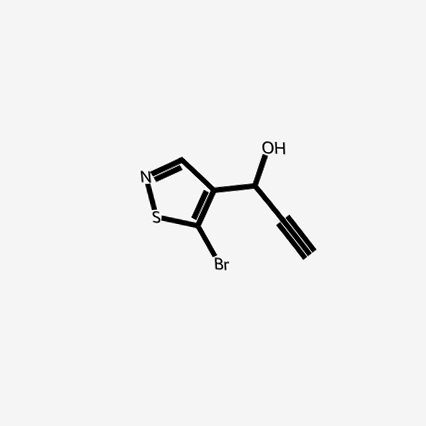 C#CC(O)c1cnsc1Br